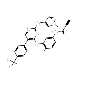 C#CC(=O)Nc1ccc(F)c(Nc2nc(Nc3cnn(C)c3)ncc2-c2ccc(C(F)(F)F)cc2)c1